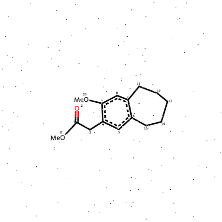 COC(=O)Cc1cc2c(cc1OC)CCCCC2